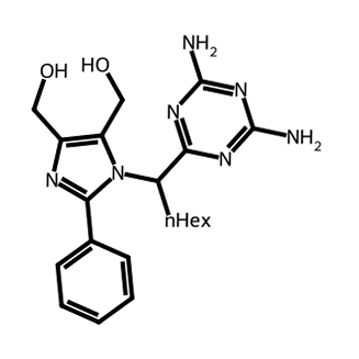 CCCCCCC(c1nc(N)nc(N)n1)n1c(-c2ccccc2)nc(CO)c1CO